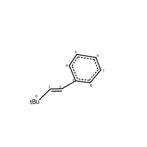 CC(C)(C)C=Cc1[c]cccc1